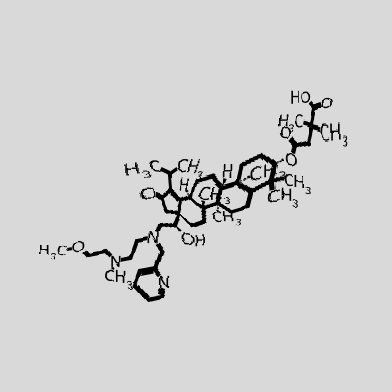 COCCN(C)CCN(Cc1ccccn1)C[C@H](O)[C@@]12CC[C@]3(C)[C@H](CC[C@@H]4[C@@]5(C)CC[C@H](OC(=O)CC(C)(C)C(=O)O)C(C)(C)C5CC[C@]43C)C1=C(C(C)C)C(=O)C2